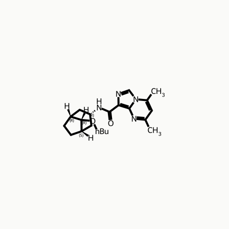 CCCCO[C@H]1[C@@H]2CC[C@H]1C[C@@H](NC(=O)c1ncn3c(C)cc(C)nc13)C2